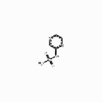 NS(=O)(=O)Nc1cnccn1